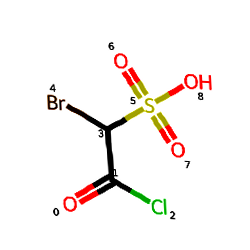 O=C(Cl)C(Br)S(=O)(=O)O